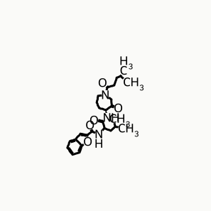 CC(C)CCC(=O)N1CCC[C@H](NC(=O)C(CC(C)C)NC(=O)c2cc3ccccc3o2)C(=O)C1